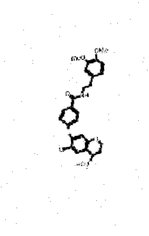 COc1ccc(CCNC(=O)c2ccc(Oc3cc4c(cc3Cl)C(C(=O)O)CCO4)cc2)cc1OC